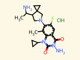 Cc1c(N2CC(C(C)N)C3(CC3)C2)c(F)cc2c(=O)n(N)c(=O)n(C3CC3)c12.Cl